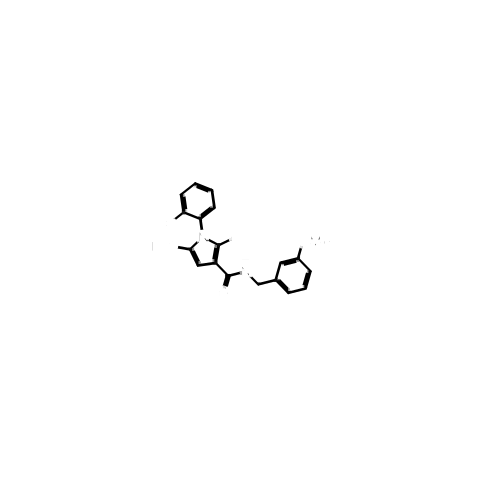 COc1cccc(CNC(=O)c2cc(C)n(-c3ccccc3C(F)(F)F)c2C)c1